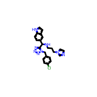 Clc1ccc(Cn2nnnc2C(NCCCn2ccnc2)c2ccc3[nH]ccc3c2)cc1